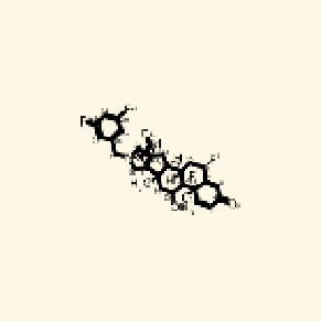 C[C@]12C=CC(=O)C=C1[C@@H](F)C[C@H]1[C@@H]3C[C@H]4CN(Cc5cc(F)cc(F)c5)C[C@@]4(C(=O)CF)[C@@]3(C)C[C@H](O)[C@@]12F